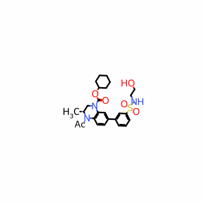 CC(=O)N1c2ccc(-c3cccc(S(=O)(=O)NCCO)c3)cc2N(C(=O)OC2CCCCC2)C[C@@H]1C